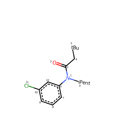 CCCC(C)N(C(=O)CC(C)(C)C)c1cccc(Cl)c1